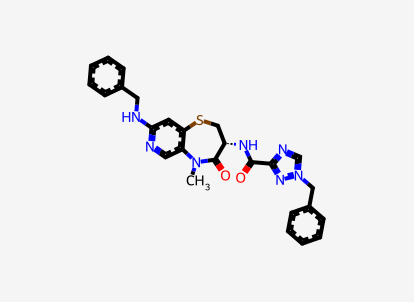 CN1C(=O)[C@@H](NC(=O)c2ncn(Cc3ccccc3)n2)CSc2cc(NCc3ccccc3)ncc21